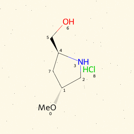 CO[C@H]1CN[C@H](CO)C1.Cl